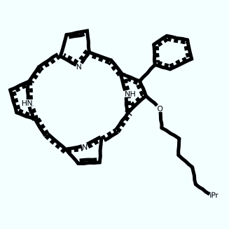 CC(C)CCCCCOc1c(-c2ccccc2)c2cc3nc(cc4ccc(cc5nc(cc1[nH]2)C=C5)[nH]4)C=C3